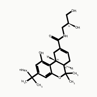 CCCCCCC(C)(C)c1cc(O)c2c(c1)OC(C)(C)[C@@H]1CC=C(C(=O)NC[C@H](O)CO)C[C@@H]21